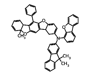 CC1(C)c2ccccc2-c2ccc(N(C3=CC=C4Oc5c(cc6c(c5-c5ccccc5)C5C=CC=CC5(C)O6)C4C3)c3cccc4c3oc3ccccc34)cc21